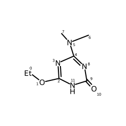 CCOc1nc(N(C)C)nc(=O)[nH]1